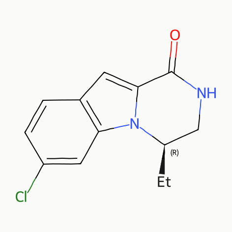 CC[C@@H]1CNC(=O)c2cc3ccc(Cl)cc3n21